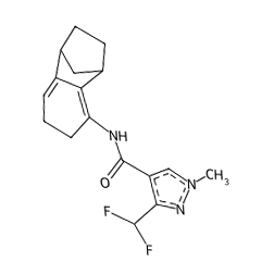 Cn1cc(C(=O)NC2=C3C(=CCC2)C2CCC3C2)c(C(F)F)n1